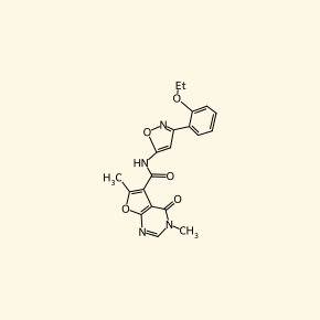 CCOc1ccccc1-c1cc(NC(=O)c2c(C)oc3ncn(C)c(=O)c23)on1